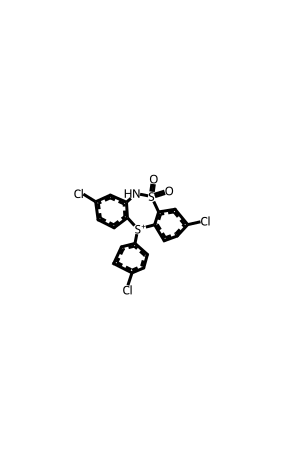 O=S1(=O)Nc2cc(Cl)ccc2[S+](c2ccc(Cl)cc2)c2ccc(Cl)cc21